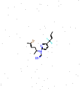 C/C=C/C(F)(F)c1ccc(N(C=N)C(C)C/C=C(/C)Br)nc1